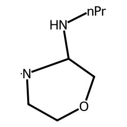 CCCNC1COCC[N]1